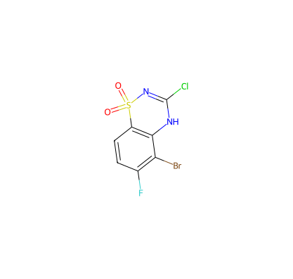 O=S1(=O)N=C(Cl)Nc2c1ccc(F)c2Br